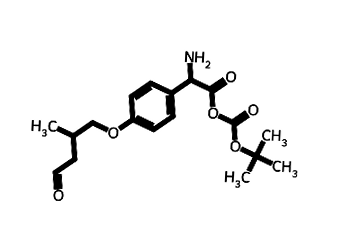 CC(CC=O)COc1ccc(C(N)C(=O)OC(=O)OC(C)(C)C)cc1